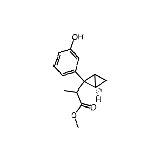 COC(=O)C(C)C1(c2cccc(O)c2)C2C[C@H]21